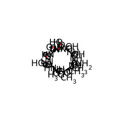 CC(C)C[C@@H]1NCC(=O)NNC(Cc2ccc(O)cc2)C(=O)N[C@@H](Cc2ccccc2)C(=O)NC(CC(=O)O)C(=O)N[C@@H](CC(=O)O)C(=O)NC(CO)C(=O)N[C@@H](CO)C(=O)NC(CC(N)=O)C(=O)N[C@@H](C(C)C)C(=O)C1=O